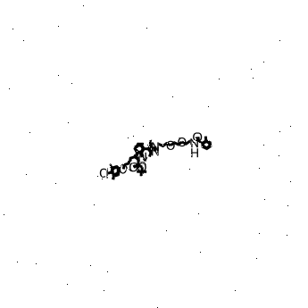 Cc1ccccc1C(=O)NCCOCCOCCCn1nc(C)c(-c2cccc3c(CCCOc4cc(C)c(Cl)c(C)c4)c(C(=O)OC(C)(C)C)n(C)c23)c1C